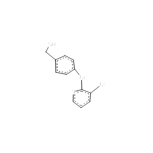 NCc1ccc(Nc2ncccc2N)cc1